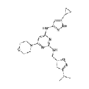 CC(C)C1=NOC(CNc2nc(Nc3cc(C4CC4)[nH]n3)cc(N3CCOCC3)n2)C1